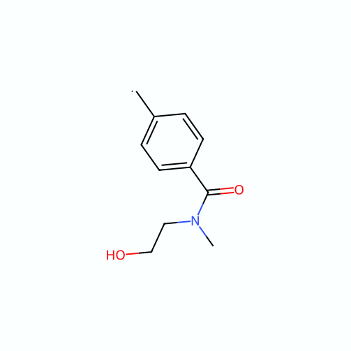 [CH2]c1ccc(C(=O)N(C)CCO)cc1